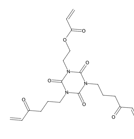 C=CC(=O)CCCn1c(=O)n(CCCC(=O)C=C)c(=O)n(CCOC(=O)C=C)c1=O